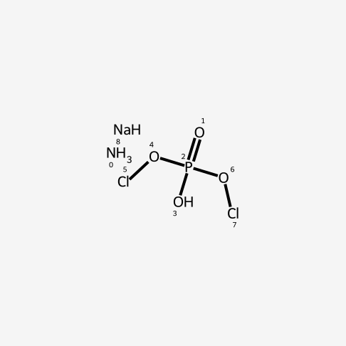 N.O=P(O)(OCl)OCl.[NaH]